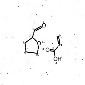 C=CC(=O)O.O=CC1CCCO1